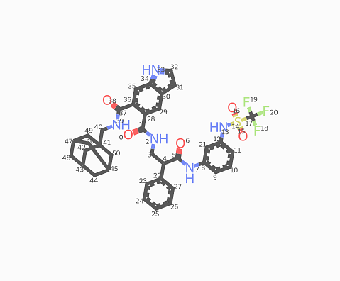 O=C(NCC(C(=O)Nc1cccc(NS(=O)(=O)C(F)(F)F)c1)c1ccccc1)c1cc2cc[nH]c2cc1C(=O)NCC12CC3CC(CC(C3)C1)C2